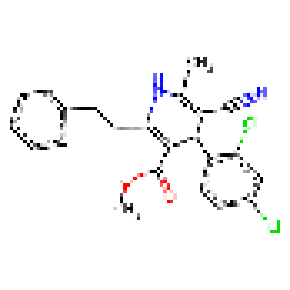 COC(=O)C1=C(CCc2ccccc2)NC(C)=C(C#N)C1c1ccc(Cl)cc1Cl